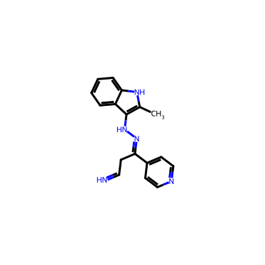 Cc1[nH]c2ccccc2c1N/N=C(\CC=N)c1ccncc1